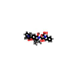 CC1(C)CN(C[C@H](O)[C@@H]2Cc3ccccc3CN2C(=O)O)C(=O)c2ccc(C(=O)N3[C@@H]4CC[C@H]3C[C@H](O)C4)cc21